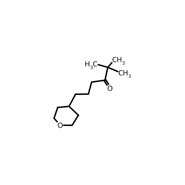 CC(C)(C)C(=O)CCCC1CCOCC1